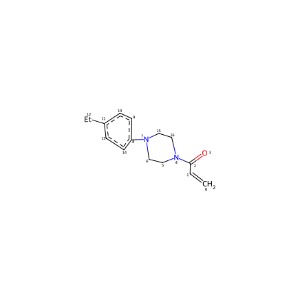 C=CC(=O)N1CCN(c2ccc(CC)cc2)CC1